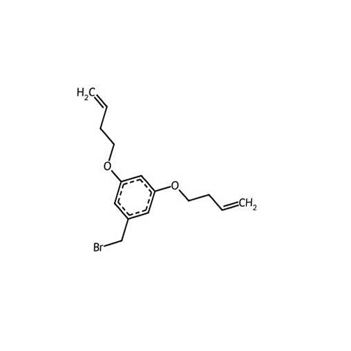 C=CCCOc1cc(CBr)cc(OCCC=C)c1